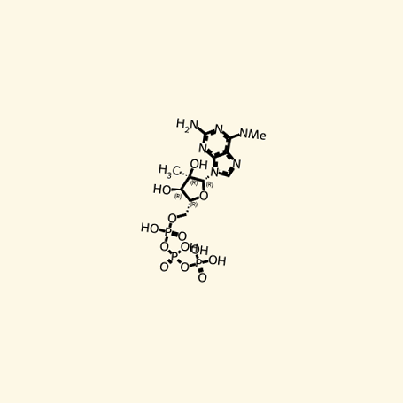 CNc1nc(N)nc2c1ncn2[C@@H]1O[C@H](COP(=O)(O)OP(=O)(O)OP(=O)(O)O)[C@@H](O)[C@@]1(C)O